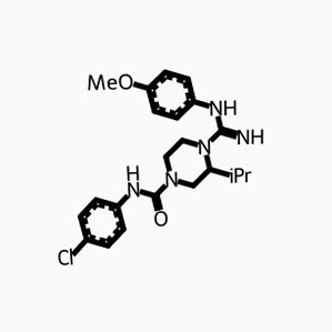 COc1ccc(NC(=N)N2CCN(C(=O)Nc3ccc(Cl)cc3)CC2C(C)C)cc1